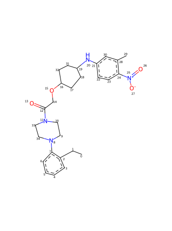 CCc1ccccc1N1CCN(C(=O)COC2CCC(Nc3ccc([N+](=O)[O-])c(C)c3)CC2)CC1